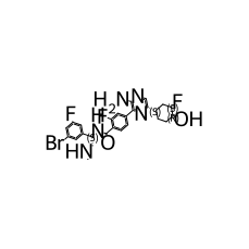 CNC[C@@H](NC(=O)c1ccc(-c2nc([C@H]3CC[C@@H](O)[C@@H](F)C3)cnc2N)cc1F)c1cc(F)cc(Br)c1